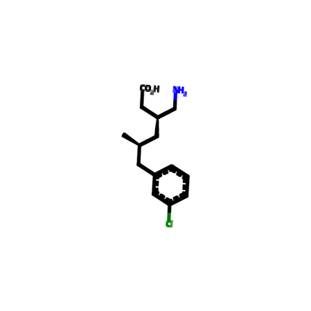 C[C@H](Cc1cccc(Cl)c1)C[C@H](CN)CC(=O)O